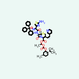 CC(OC(=O)O[C@@H]1C[C@H](C)CC[C@H]1C(C)C)OC(=O)C1=C(/C=C\c2cccnc2)CS[C@H]2[C@H](NC(=O)C(=NOC(c3ccccc3)(c3ccccc3)c3ccccc3)c3csc(N)n3)C(=O)N12